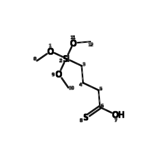 CO[Si](CCCC(O)=S)(OC)OC